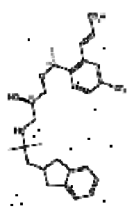 C[C@@H](OC[C@H](O)CNC(C)(C)CC1Cc2ccccc2C1)c1ccc(C(F)(F)F)cc1C=CC(=O)O